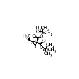 C=CC1CC1(C(=O)OC(C)(C)C)C(=O)OC(C)(C)C